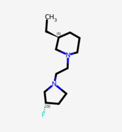 CC[C@H]1CCCN(CCN2CC[C@H](F)C2)C1